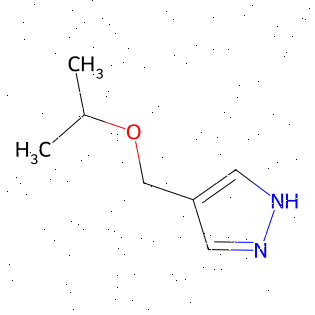 CC(C)OCc1cn[nH]c1